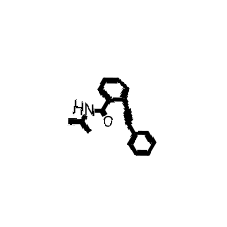 CC(C)NC(=O)c1ccccc1C#Cc1ccccc1